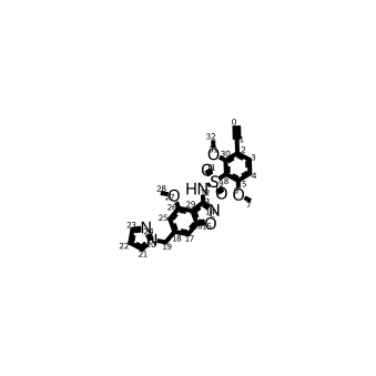 C#Cc1ccc(OC)c(S(=O)(=O)Nc2noc3cc(Cn4cccn4)cc(OC)c23)c1OC